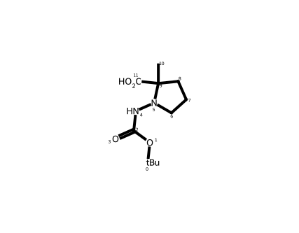 CC(C)(C)OC(=O)NN1CCCC1(C)C(=O)O